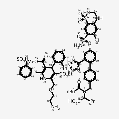 CCCCC(=O)N(Cc1ccc(-c2ccccc2-c2nn[nH]n2)cc1)[C@H](C(=O)O)C(C)C.CCOC(=O)C1=C(COCCN)NC(C)=C(C(=O)OC)C1c1ccccc1Cl.NS(=O)(=O)c1cc2c(cc1Cl)NCNS2(=O)=O.O=S(=O)(O)c1ccccc1